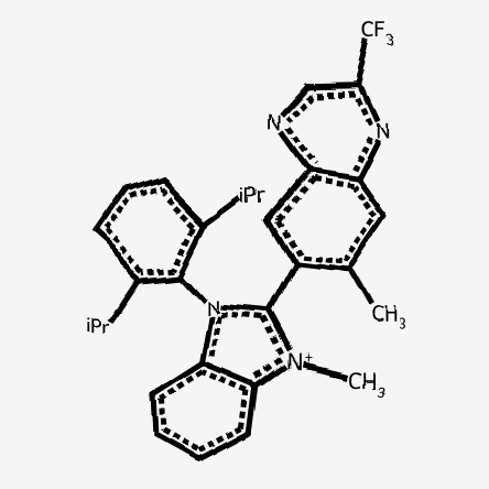 Cc1cc2nc(C(F)(F)F)cnc2cc1-c1n(-c2c(C(C)C)cccc2C(C)C)c2ccccc2[n+]1C